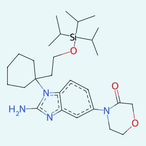 CC(C)[Si](OCCC1(n2c(N)nc3cc(N4CCOCC4=O)ccc32)CCCCC1)(C(C)C)C(C)C